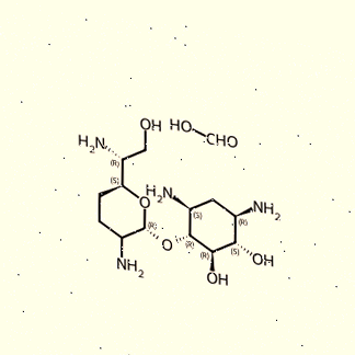 NC1CC[C@@H]([C@H](N)CO)O[C@@H]1O[C@H]1[C@H](O)[C@@H](O)[C@H](N)C[C@@H]1N.O=CO